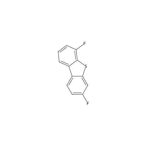 Fc1ccc2c(c1)sc1c(F)cccc12